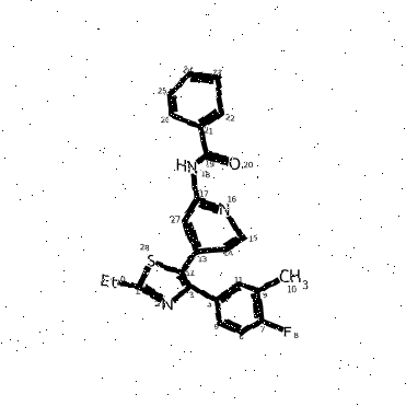 CCc1nc(-c2ccc(F)c(C)c2)c(-c2ccnc(NC(=O)c3ccccc3)c2)s1